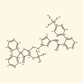 O=C(Nc1cn(CCCCC2(C(=O)NCC(F)(F)F)c3ccccc3-c3ccccc32)cn1)c1ccccc1-c1ccc(C(F)(F)F)cc1